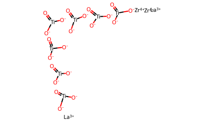 [La+3].[La+3].[O]=[Ti]([O-])[O-].[O]=[Ti]([O-])[O-].[O]=[Ti]([O-])[O-].[O]=[Ti]([O-])[O-].[O]=[Ti]([O-])[O-].[O]=[Ti]([O-])[O-].[O]=[Ti]([O-])[O-].[Zr+4].[Zr+4]